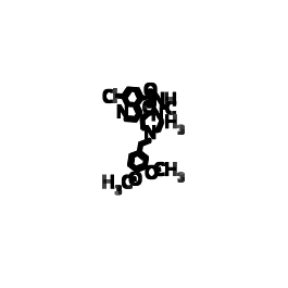 COc1ccc(CCN2CCCN(C(C)NS(=O)(=O)c3ccc(Cl)c4ncccc34)CC2)cc1OC